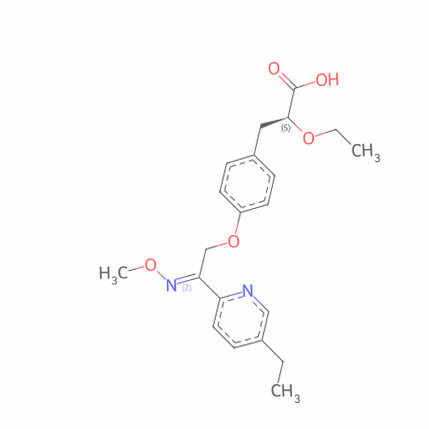 CCO[C@@H](Cc1ccc(OC/C(=N\OC)c2ccc(CC)cn2)cc1)C(=O)O